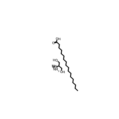 CCCCCCCCCCCCCCCCCC(=O)O.NN.OCC(O)CO